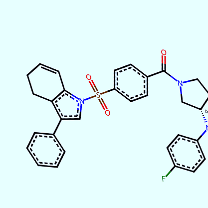 O=C(c1ccc(S(=O)(=O)n2cc(-c3ccccc3)c3c2C=CCC3)cc1)N1CC[C@H](Nc2ccc(F)cc2)C1